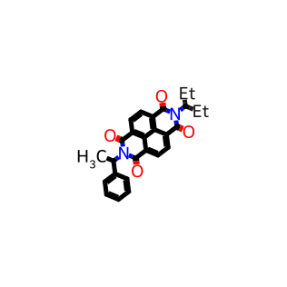 CCC(CC)N1C(=O)c2ccc3c4c(ccc(c24)C1=O)C(=O)N(C(C)c1ccccc1)C3=O